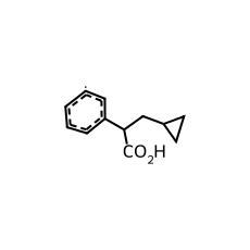 O=C(O)C(CC1CC1)c1c[c]ccc1